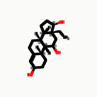 CC[C@]12C[C@@H](O)[C@H]3[C@@H](CCC4=C[C@H](O)CC[C@@H]43)[C@@H]1CC[C@@H]2O